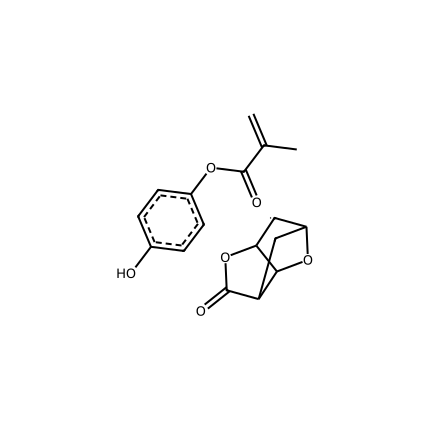 C=C(C)C(=O)Oc1ccc(O)cc1.O=C1OC2[CH]C3CC1C2O3